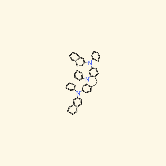 c1ccc(N(c2ccc3c(c2)N(c2ccccc2)c2cc(N(c4ccccc4)c4ccc5ccccc5c4)ccc2CC3)c2ccc3ccccc3c2)cc1